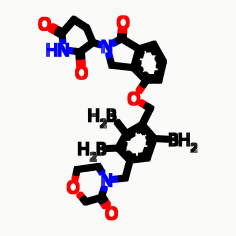 Bc1cc(CN2CCOCC2=O)c(B)c(B)c1COc1cccc2c1CN(C1CCC(=O)NC1=O)C2=O